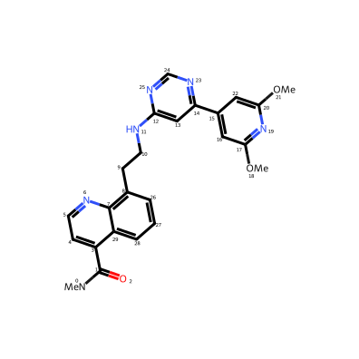 CNC(=O)c1ccnc2c(CCNc3cc(-c4cc(OC)nc(OC)c4)ncn3)cccc12